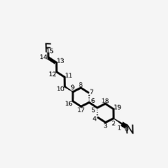 N#C[C@H]1CC[C@H]([C@H]2CC[C@H](CCCC=CF)CC2)CC1